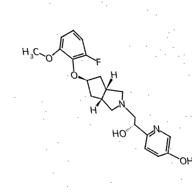 COc1cccc(F)c1O[C@H]1C[C@@H]2CN(C[C@@H](O)c3ccc(O)cn3)C[C@@H]2C1